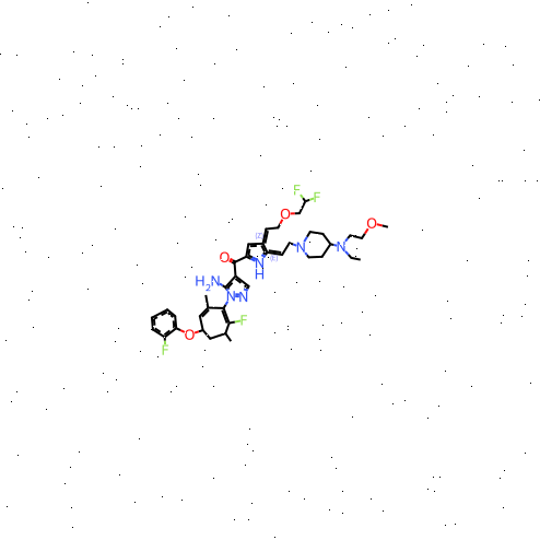 CCN(CCOC)C1CCN(C/C=c2/[nH]c(C(=O)c3cnn(C4=C(F)C(C)CC(Oc5ccccc5F)C=C4C)c3N)c/c2=C/COCC(F)F)CC1